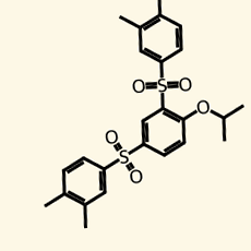 Cc1ccc(S(=O)(=O)c2ccc(OC(C)C)c(S(=O)(=O)c3ccc(C)c(C)c3)c2)cc1C